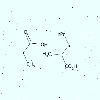 CCC(=O)O.CCCSC(C)C(=O)O